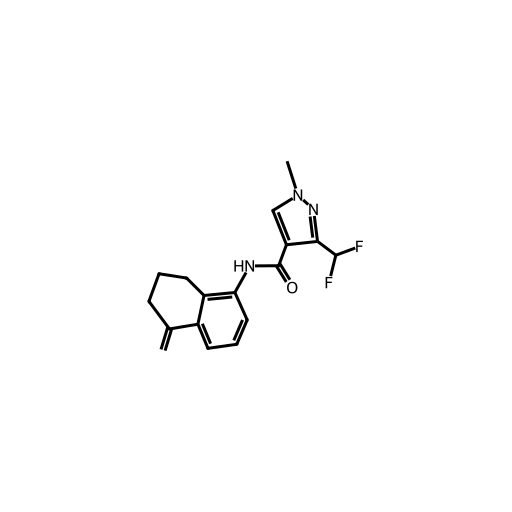 C=C1CCCc2c(NC(=O)c3cn(C)nc3C(F)F)cccc21